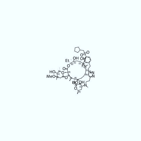 CC[C@H]1OC(=O)[C@H](C)[C@@H](O[C@H]2C[C@@](C)(OC)[C@@H](O)[C@H](C)O2)[C@H](C)[C@@H](O[C@@H]2O[C@H](C)C[C@H](N(C)CCc3cn([C@H](CF)Cc4ccc(S(=O)(=O)CC5CCCC5)cc4)nn3)[C@H]2O)[C@](C)(O)CC[C@@H](C)CN(C)[C@H](C)[C@@H](O)C[C@]1(C)O